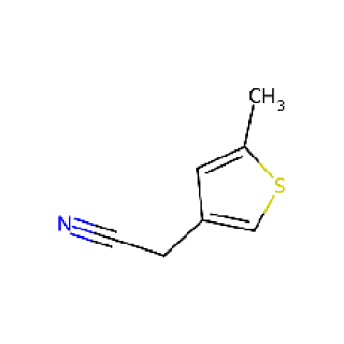 Cc1cc(CC#N)cs1